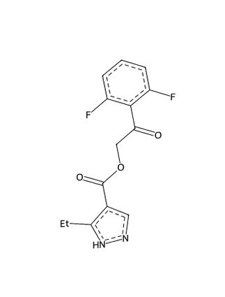 CCc1[nH]ncc1C(=O)OCC(=O)c1c(F)cccc1F